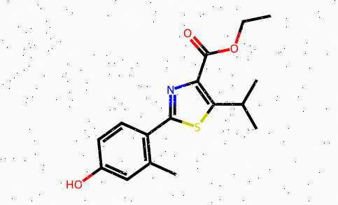 CCOC(=O)c1nc(-c2ccc(O)cc2C)sc1C(C)C